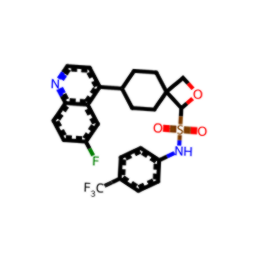 O=S(=O)(Nc1ccc(C(F)(F)F)cc1)C1OCC12CCC(c1ccnc3ccc(F)cc13)CC2